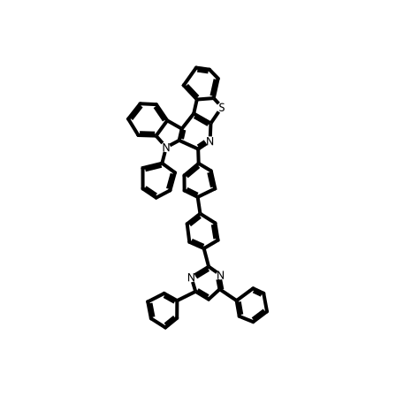 c1ccc(-c2cc(-c3ccccc3)nc(-c3ccc(-c4ccc(-c5nc6sc7ccccc7c6c6c7ccccc7n(-c7ccccc7)c56)cc4)cc3)n2)cc1